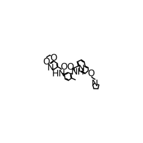 Cc1ccc(NC(=O)c2cnc3c(c2)OCCO3)cc1NC(=O)C1=CC=CC2=CC(OCCN3CCCC3)C=CN21